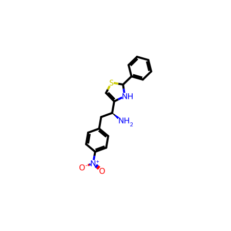 N[C@@H](Cc1ccc([N+](=O)[O-])cc1)C1=CSC(c2ccccc2)N1